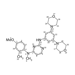 COc1ccc(N(C)c2ccnc(Nc3cc(N4CCOCC4)cc(N4CCOCC4)c3)n2)c(C)c1